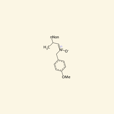 CCCCCCCCCC(C)/C=[N+](/[O-])Cc1ccc(OC)cc1